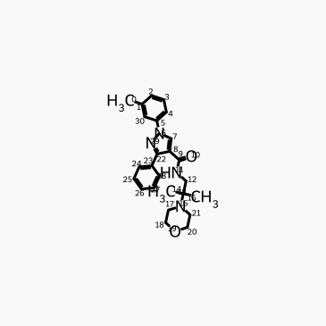 Cc1cccc(-n2cc(C(=O)NCC(C)(C)N3CCOCC3)c(-c3ccccc3)n2)c1